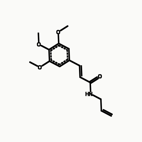 C=CCNC(=O)C=Cc1cc(OC)c(OC)c(OC)c1